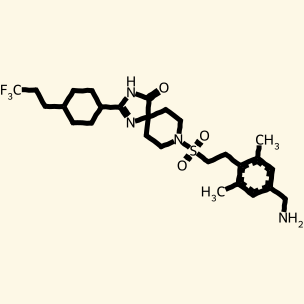 Cc1cc(CN)cc(C)c1CCS(=O)(=O)N1CCC2(CC1)N=C(C1CCC(CCC(F)(F)F)CC1)NC2=O